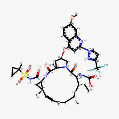 CC[C@@H]1C[C@H](C)CCC=C[C@@H]2C[C@@]2(C(=O)NS(=O)(=O)C2(C)CC2)NC(=O)[C@@H]2C[C@@H](Oc3cc(-n4ccc(C(F)(F)F)n4)nc4cc(OC)ccc34)CN2C(=O)[C@H]1NC(=O)O